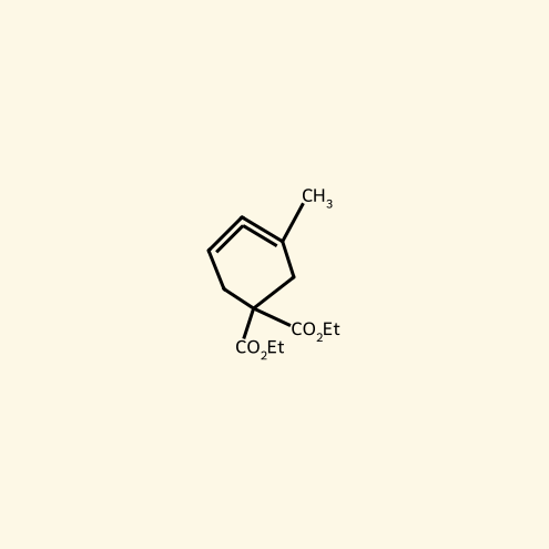 CCOC(=O)C1(C(=O)OCC)CC=C=C(C)C1